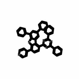 c1ccc(-c2cc(-c3ccccc3)c3sc4c(-c5ccncc5)ccc(-c5nc(-c6ccccc6)nc(-c6ccccc6)n5)c4c3c2)cc1